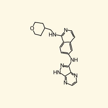 c1cc2cc(Nc3n[nH]c4nccnc34)ccc2c(NCC2CCOCC2)n1